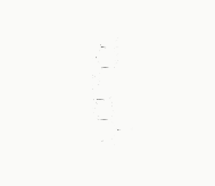 CC(=O)C(O)c1ccc(OS(=O)(=O)c2ccc(C)cc2)cc1